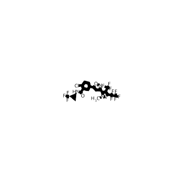 Cn1nc(C(F)(F)C(F)(F)F)c(C(F)(F)F)c1-c1cc(-c2ccc(Cl)c(C(=O)N[C@H]3C[C@@H]3C(F)(F)F)c2)on1